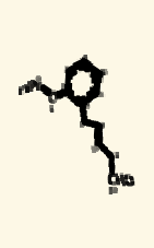 CCCOc1ccccc1CC=CCC=O